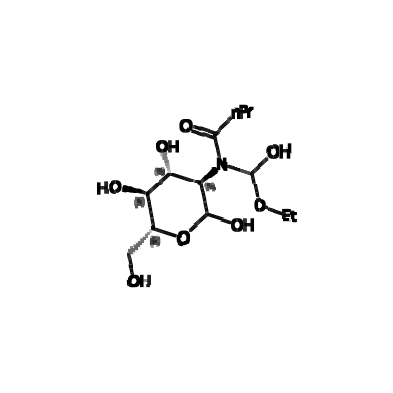 CCCC(=O)N(C(O)OCC)[C@H]1C(O)O[C@H](CO)[C@@H](O)[C@@H]1O